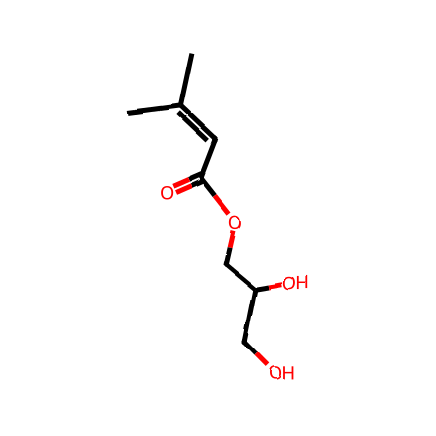 CC(C)=CC(=O)OCC(O)CO